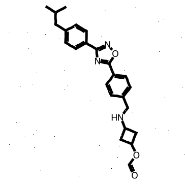 CC(C)Cc1ccc(-c2noc(-c3ccc(CNC4CC(OC=O)C4)cc3)n2)cc1